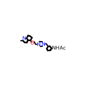 CC(=O)Nc1cccc(CN2CCN(CCOc3cccc4nc(C)ccc34)CC2)c1